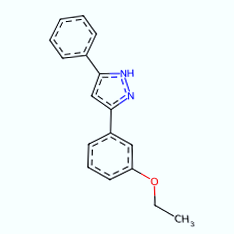 CCOc1cccc(-c2cc(-c3ccccc3)[nH]n2)c1